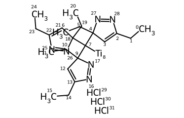 CCC1=CC(CC)([C]([Ti])(C2(CC)C=C(CC)N=N2)C2(CC)C=C(CC)N=N2)N=N1.Cl.Cl.Cl